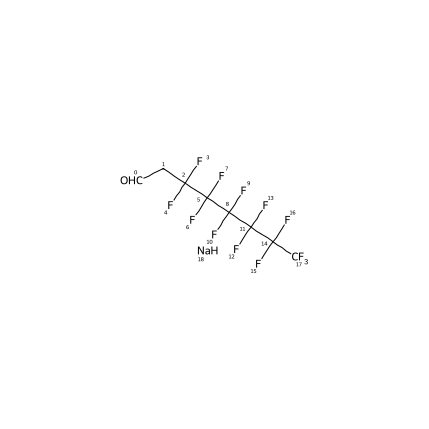 O=CCC(F)(F)C(F)(F)C(F)(F)C(F)(F)C(F)(F)C(F)(F)F.[NaH]